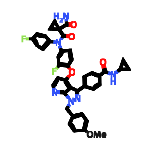 COc1ccc(Cn2nc(-c3ccc(C(=O)NC4CC4)cc3)c3c(Oc4ccc(N(C(=O)C5(C(N)=O)CC5)c5ccc(F)cc5)cc4F)ccnc32)cc1